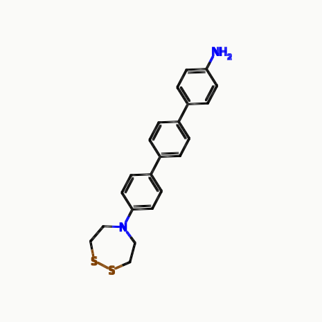 Nc1ccc(-c2ccc(-c3ccc(N4CCSSCC4)cc3)cc2)cc1